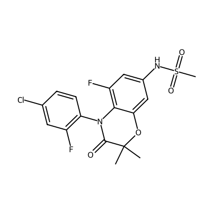 CC1(C)Oc2cc(NS(C)(=O)=O)cc(F)c2N(c2ccc(Cl)cc2F)C1=O